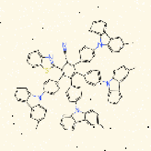 Cc1ccc2c(c1)c1ccccc1n2-c1ccc(-c2c(C#N)c(-c3nc4ccccc4s3)c(-c3ccc(-n4c5ccccc5c5cc(C)ccc54)cc3)c(-c3ccc(-n4c5ccccc5c5cc(C)ccc54)cc3)c2-c2ccc(-n3c4ccccc4c4cc(C)ccc43)cc2)cc1